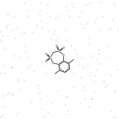 Cc1ccc(C)c2c1OS(=O)(=O)CS(=O)(=O)O2